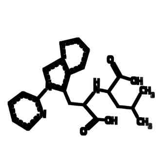 CC(C)CC(NC(Cc1c2ccccc2cn1-c1ccccn1)C(=O)O)C(=O)O